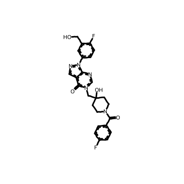 O=C(c1ccc(F)cc1)N1CCC(O)(Cn2cnc3c(cnn3-c3ccc(F)c(CO)c3)c2=O)CC1